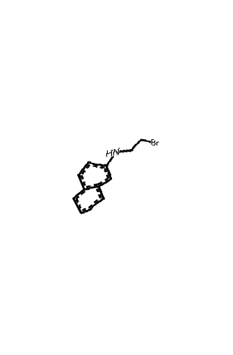 BrCCNc1ccc2ccccc2c1